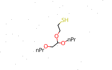 CCCOCC(OCCC)OCCS